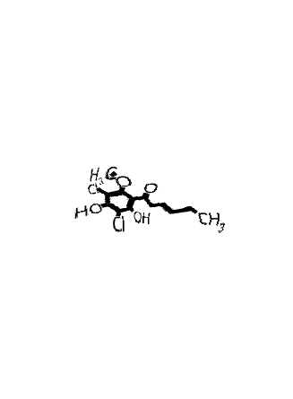 CCCCCC(=O)c1c(O)c(Cl)c(O)c(Cl)c1OC